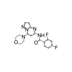 O=C(Nc1cc(N2CCOCC2)n2nccc2n1)c1ccc(F)cc1F